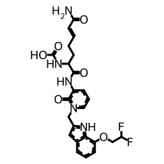 NC(=O)C=CCCC(NC(=O)O)C(=O)Nc1cccn(Cc2cc3cccc(OCC(F)F)c3[nH]2)c1=O